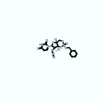 C[C@@]1(N=[N+]=[N-])[C@@H]2O[P@](=O)(OCc3ccccc3)OC[C@H]2O[C@H]1n1ccc(=O)[nH]c1=O